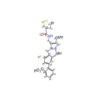 CCCCc1nc(OC)c(CNC(=O)C(CS)CC(C)C)n1Cc1ccc(-c2ccccc2C(=O)O)cc1F